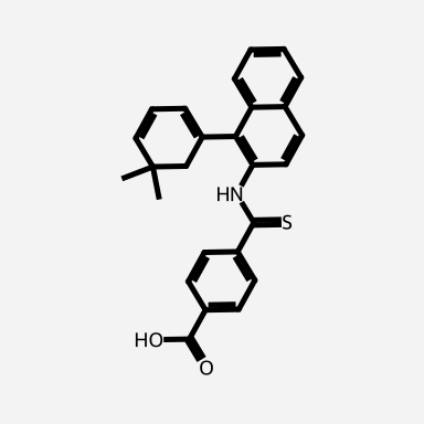 CC1(C)C=CC=C(c2c(NC(=S)c3ccc(C(=O)O)cc3)ccc3ccccc23)C1